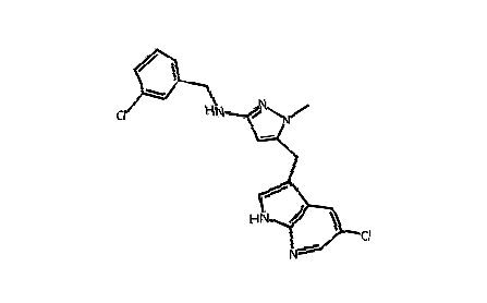 Cn1nc(NCc2cccc(Cl)c2)cc1Cc1c[nH]c2ncc(Cl)cc12